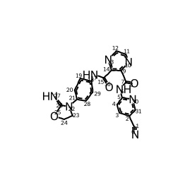 N#Cc1ccc(NC(=O)c2nccnc2C(=O)Nc2ccc(N3CCOC3=N)cc2)nc1